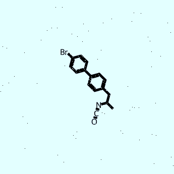 CC(Cc1ccc(-c2ccc(Br)cc2)cc1)N=C=O